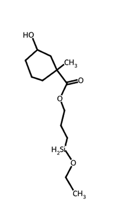 CCO[SiH2]CCCOC(=O)C1(C)CCCC(O)C1